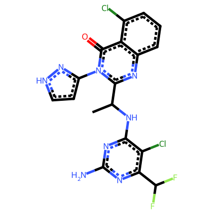 CC(Nc1nc(N)nc(C(F)F)c1Cl)c1nc2cccc(Cl)c2c(=O)n1-c1cc[nH]n1